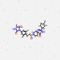 Cc1cc(N2C(=O)NC(C)C2=O)cc(C)c1CC[S+]([O-])N1CCC2(CC1)N=C(C1CCC(C)CC1)NC2=O